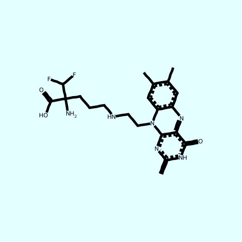 C=c1nc2c(c(=O)[nH]1)=Nc1cc(C)c(C)cc1N2CCNCCCC(N)(C(=O)O)C(F)F